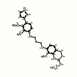 CCCc1c(OCCCOc2ccc(-c3cc[nH]n3)c(OC)c2CCC)ccc2c1OC(OC(=O)O)CC2